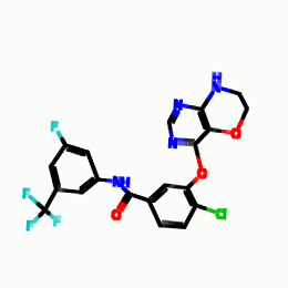 O=C(Nc1cc(F)cc(C(F)(F)F)c1)c1ccc(Cl)c(Oc2ncnc3c2OCCN3)c1